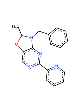 CC1Oc2cnc(-c3ccccn3)nc2N1Cc1ccccc1